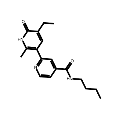 CCCCNC(=O)c1ccnc(-c2cc(CC)c(=O)[nH]c2C)c1